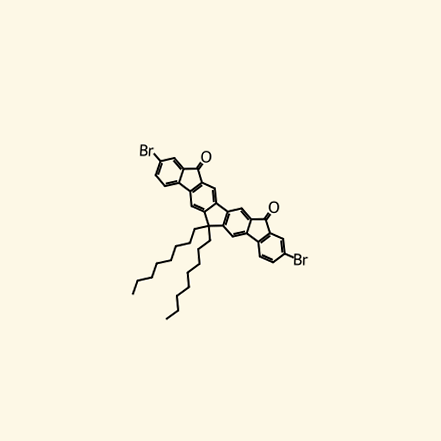 CCCCCCCCC1(CCCCCCCC)c2cc3c(cc2-c2cc4c(cc21)-c1ccc(Br)cc1C4=O)C(=O)c1cc(Br)ccc1-3